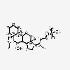 CC[C@H]1[C@@H](O)C2C3CC[C@H]([C@H](C)CCOS(=O)(=O)O)[C@@]3(C)CCC2[C@@]2(C)CCCC[C@@H]12